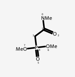 CNC(=O)CP(=O)(OC)OC